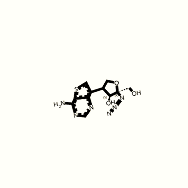 [N-]=[N+]=N[C@]1(CO)OCC(c2csc3c(N)ncnc23)[C@@H]1O